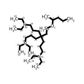 CCCC(C)O[SiH2]CC(CCCN(CC)CC)(CCCN(CC)CC)CCCN(CC)CC